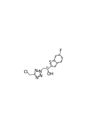 O[C@@H](Cn1nnc(CCl)n1)c1cc2ccc(F)cc2s1